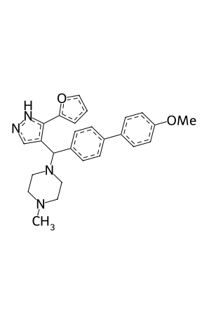 COc1ccc(-c2ccc(C(c3cn[nH]c3-c3ccco3)N3CCN(C)CC3)cc2)cc1